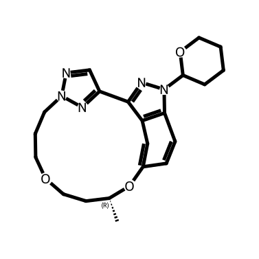 C[C@@H]1CCOCCCn2ncc(n2)-c2nn(C3CCCCO3)c3ccc(cc23)O1